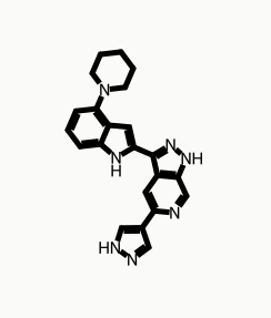 c1cc(N2CCCCC2)c2cc(-c3n[nH]c4cnc(-c5cn[nH]c5)cc34)[nH]c2c1